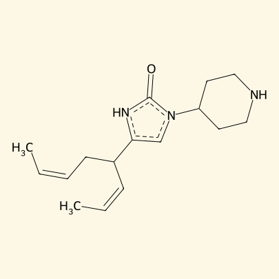 C/C=C\CC(/C=C\C)c1cn(C2CCNCC2)c(=O)[nH]1